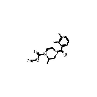 Cc1cccc(C(=O)N2CCN(C(=O)OC(C)(C)C)C(C)C2)c1C